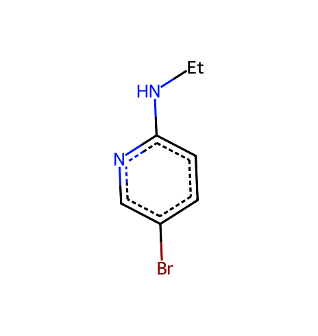 CCNc1ccc(Br)cn1